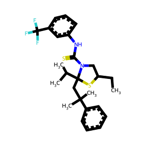 CCC1CN(C(=S)Nc2cccc(C(F)(F)F)c2)C(CC(C)(C)c2ccccc2)(C(C)C)S1